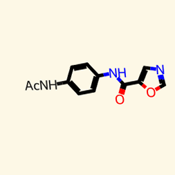 CC(=O)Nc1ccc(NC(=O)c2cnco2)cc1